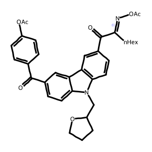 CCCCCC/C(=N\OC(C)=O)C(=O)c1ccc2c(c1)c1cc(C(=O)c3ccc(OC(C)=O)cc3)ccc1n2CC1CCCO1